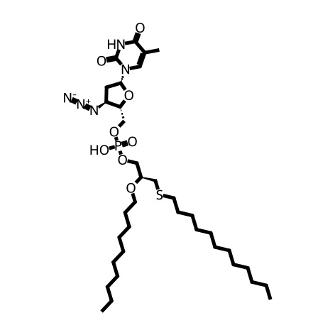 CCCCCCCCCCCCSC[C@H](COP(=O)(O)OC[C@H]1O[C@@H](n2cc(C)c(=O)[nH]c2=O)C[C@@H]1N=[N+]=[N-])OCCCCCCCCCC